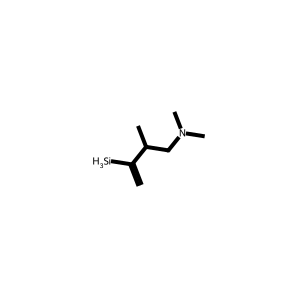 C=C([SiH3])C(C)CN(C)C